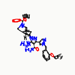 CC(C)(C)OC(=O)N1CC2[C@@H]3[C@H](n4nc(-c5cnn(Cc6ccccc6OC(F)(F)F)c5)c(C(N)=O)c4N)C[C@]23C1